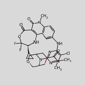 CN(C)C(=O)C1CC2COCC(C1)N2c1ncc(Cl)c(Nc2ccc3c(c2)c2c(c(=O)n3C)C(=O)OC(F)(F)[C@H](C3CC3)N2)n1